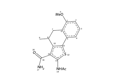 COc1cccc2c1CC(C)c1c-2sc(NC(C)=O)c1C(N)=O